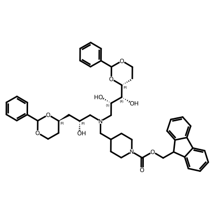 O=C(OCC1c2ccccc2-c2ccccc21)N1CCC(CN(C[C@H](O)C[C@H]2CCOC(c3ccccc3)O2)C[C@H](O)[C@@H](O)[C@H]2CCOC(c3ccccc3)O2)CC1